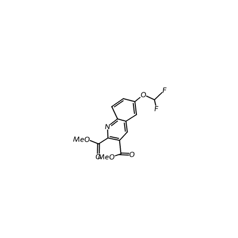 COC(=O)c1cc2cc(OC(F)F)ccc2nc1C(=O)OC